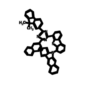 CC1(C)c2ccccc2-c2ccc(-c3nc(-c4ccc5ccccc5c4)nc(-c4cccc5c4sc4c(-n6c7ccccc7c7cc8ccccc8cc76)cccc45)n3)cc21